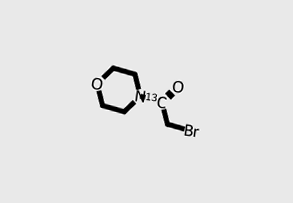 O=[13C](CBr)N1CCOCC1